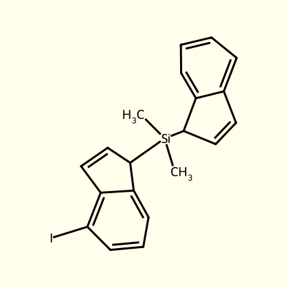 C[Si](C)(C1C=Cc2ccccc21)C1C=Cc2c(I)cccc21